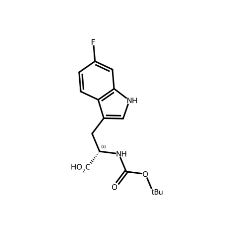 CC(C)(C)OC(=O)N[C@@H](Cc1c[nH]c2cc(F)ccc12)C(=O)O